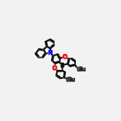 CC(C)(C)c1ccc2c(c1)B1c3cc(C(C)(C)C)ccc3Oc3cc(-n4c5ccccc5c5ccccc54)cc(c31)O2